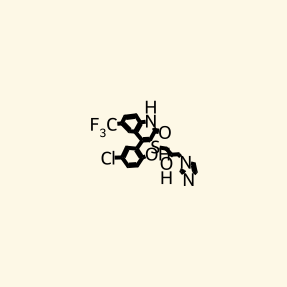 O=c1[nH]c2ccc(C(F)(F)F)cc2c(-c2cc(Cl)ccc2O)c1SCC(O)Cn1ccnc1